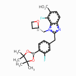 CC1(C)OB(c2ccc(Cc3nc4ccc(C(=O)O)c(F)c4n3C[C@@H]3CCO3)cc2F)OC1(C)C